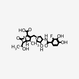 C[C@@H](O)[C@H]1C(=O)N2C(C(=O)O)=C(CN3C[C@H](NC(=O)c4ccc(O)c(O)c4F)[C@@H](O)C3)[C@H](C)[C@H]12